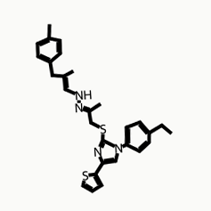 CCc1ccc(-n2cc(-c3cccs3)nc2SC/C(C)=N/N/C=C(\C)Cc2ccc(C)cc2)cc1